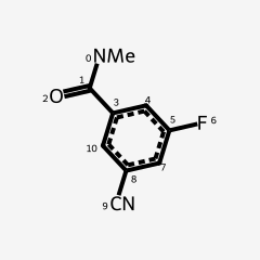 CNC(=O)c1cc(F)cc(C#N)c1